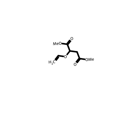 C=COC(CC(=O)OC)C(=O)OC